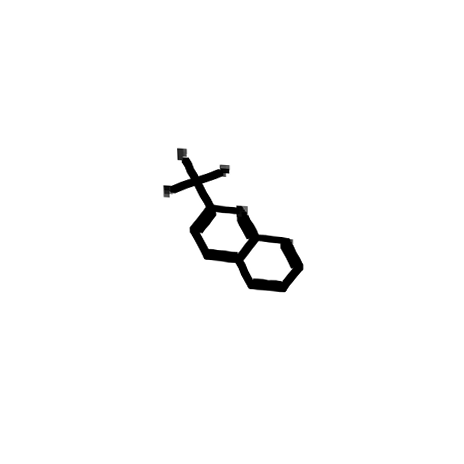 FC(F)(F)c1ccc2ccc[c]c2n1